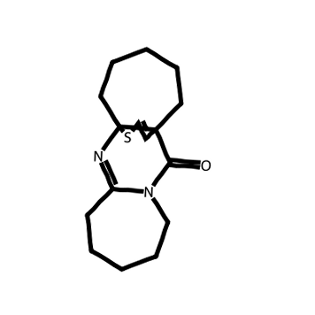 O=C1N2CCCCCC2=NC23CCCCCC12C=CS3